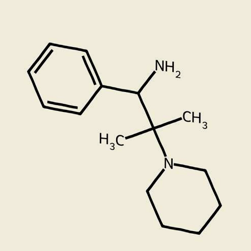 CC(C)(C(N)c1ccccc1)N1CCCCC1